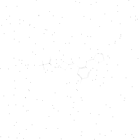 O=C(ON1CC(Oc2cc(Cl)ccc2OC2CCCC2)C1)C(F)(F)F